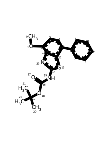 COc1ccc(-c2ccccc2)c2sc(NC(=O)OC(C)(C)C)nc12